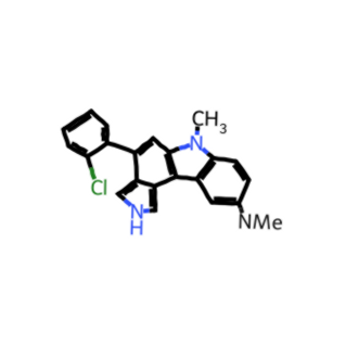 CNc1ccc2c(c1)c1c3c[nH]cc3c(-c3ccccc3Cl)cc1n2C